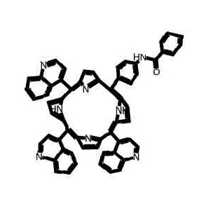 O=C(Nc1ccc(-c2c3nc(c(-c4ccnc5ccccc45)c4ccc([nH]4)c(-c4ccnc5ccccc45)c4nc(c(-c5ccnc6ccccc56)c5ccc2[nH]5)C=C4)C=C3)cc1)c1ccccc1